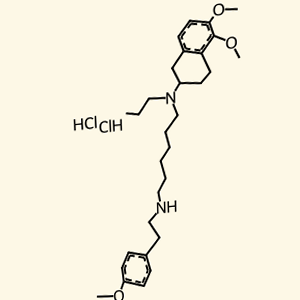 CCCN(CCCCCCNCCc1ccc(OC)cc1)C1CCc2c(ccc(OC)c2OC)C1.Cl.Cl